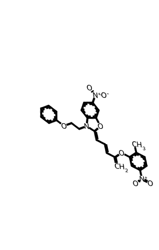 C=C(/C=C/C=C1\Oc2cc([N+](=O)[O-])ccc2N1CCOc1ccccc1)Oc1cc([N+](=O)[O-])ccc1C